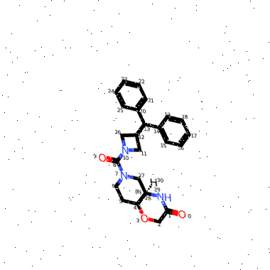 O=C1COC2CCN(C(=O)N3CC(C(c4ccccc4)c4ccccc4)C3)C[C@H]2N1